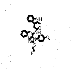 COc1ccc(-n2c(SCCF)nnc2[C@H](Cc2ccccc2)NC(=O)Cc2c(C)[nH]c3ccccc23)cc1